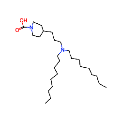 CCCCCCCCCN(CCCCCCCCC)CCCC1CCN(C(=O)O)CC1